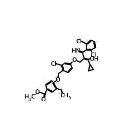 CCc1cc(C(=O)OC)ccc1OCc1ccc(OC/C(C(=N)c2c(Cl)cccc2Cl)=C(/O)C2CC2)cc1Cl